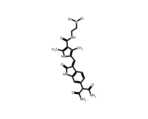 CCN(CC)CCNC(=O)c1c(C)[nH]c(C=C2C(=O)Nc3cc(C(C(N)=O)C(N)=O)ccc32)c1C